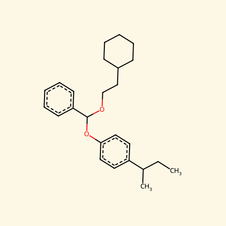 CCC(C)c1ccc(OC(OCCC2CCCCC2)c2ccccc2)cc1